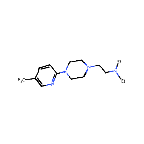 CCN(CC)CCN1CCN(c2ccc(C(F)(F)F)cn2)CC1